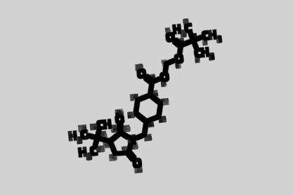 CC(C)(C)C(=O)OCOC(=O)C1CCC(CN2C(=O)CC(C(C)(C)C)C2=O)CC1